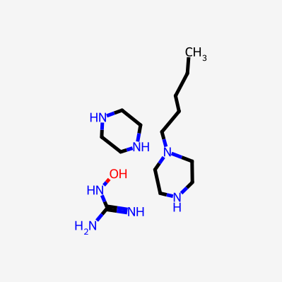 C1CNCCN1.CCCCCN1CCNCC1.N=C(N)NO